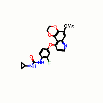 COc1cc2nccc(Oc3ccc(NC(=O)NC4CC4)c(F)c3)c2c2c1OCCO2